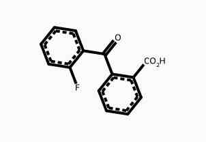 O=C(O)c1ccccc1C(=O)c1ccccc1F